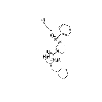 NCC(CC1CCCCC1)NC(=O)N1CCC[C@@H]([C@@H](OCCC2CC2)c2ccccc2)C1